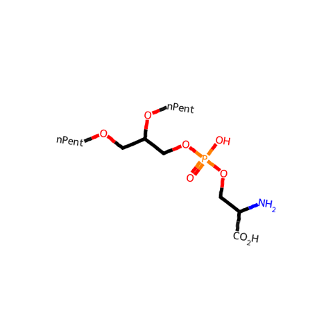 CCCCCOCC(COP(=O)(O)OCC(N)C(=O)O)OCCCCC